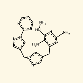 NNc1nc(N)cc(Cc2cnn(Cc3cnn(-c4ccccn4)c3)c2)c1N